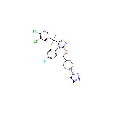 CC(C)(c1ccc(Cl)c(Cl)c1)c1cnc(OCC2CCN(c3nnn[nH]3)CC2)n1-c1ccc(F)cc1